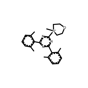 Cc1cccc(C)c1-c1nc(-c2c(C)cccc2C)nc([N+]2(C)CCOCC2)n1